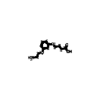 NCCOc1cccc(OCCCC(=O)O)c1